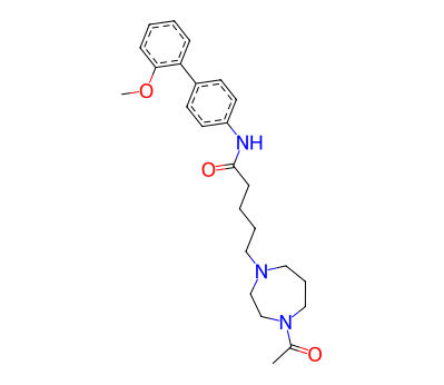 COc1ccccc1-c1ccc(NC(=O)CCCCN2CCCN(C(C)=O)CC2)cc1